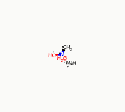 C=NO.O.[NaH]